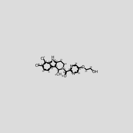 CC1c2c([nH]c3c(Cl)c(Cl)ccc23)CCN1C(=O)c1ncc(OCCO)cn1